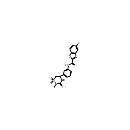 CN1C(=N)N[C@](C)(c2cccc(NC(=O)c3nc4cc(Cl)ccc4o3)c2)CS1(=O)=O